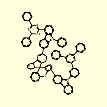 C1=CC2C3=C(CCC(c4ccc5c6c(C7=NC(c8ccccc8)=NC(c8ccccc8)N7)cccc6n(-c6ccccc6)c5c4)=C3)C3(c4ccccc4Sc4c(-c5ccc6c7ccccc7n(-c7cccc(-c8nc(-c9ccccc9)nc(-c9ccccc9)n8)c7)c6c5)cccc43)C2C=C1